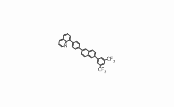 FC(F)(F)c1cc(-c2ccc3cc(-c4ccc(-c5cccc6cccnc56)cc4)ccc3c2)cc(C(F)(F)F)c1